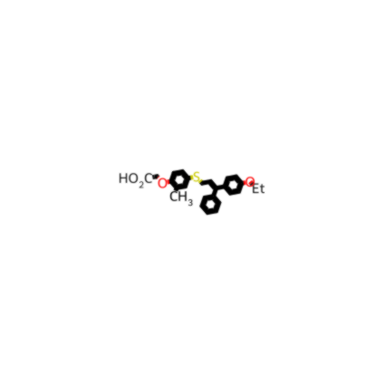 CCOc1ccc(C(=CCSc2ccc(OCC(=O)O)c(C)c2)c2ccccc2)cc1